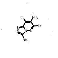 CCc1nn2c(N)nnc2c(CC)c1N